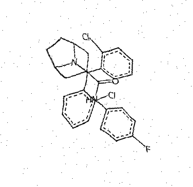 O=C(Nc1ccc(F)cc1)C1CC2CCC(C1)N2C(c1ccccc1Cl)c1ccccc1Cl